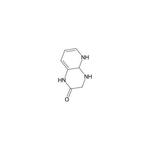 O=C1CNC2NC=CC=C2N1